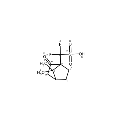 CC1(C)C2CCC1(C(F)(F)S(=O)(=O)O)C(=O)C2